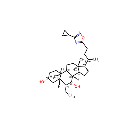 CC[C@H]1[C@@H](O)[C@@H]2[C@H](CC[C@]3(C)[C@@H]([C@H](C)CCc4nc(C5CC5)no4)CC[C@@H]23)[C@@]2(C)CC[C@@H](O)C[C@@H]12